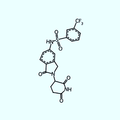 O=C1CCC(N2Cc3cc(NS(=O)(=O)c4cccc(C(F)(F)F)c4)ccc3C2=O)C(=O)N1